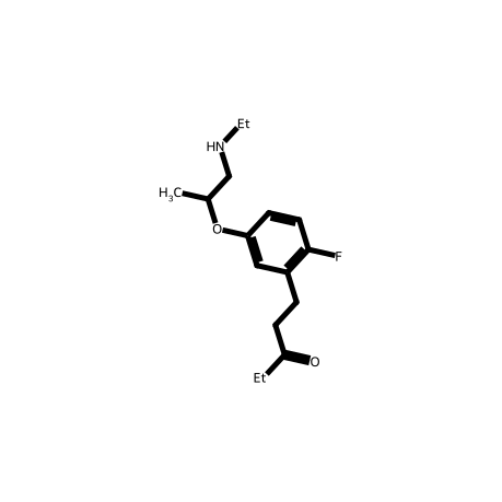 CCNCC(C)Oc1ccc(F)c(CCC(=O)CC)c1